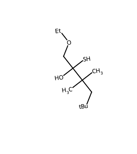 CCOCC(O)(S)C(C)(C)CC(C)(C)C